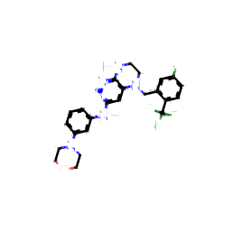 FC(F)(F)c1ccc(Cl)cc1CN1CCNc2nnc(Nc3cccc(N4CCOCC4)c3)cc21